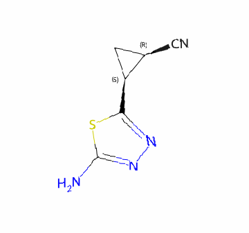 N#C[C@@H]1C[C@@H]1c1nnc(N)s1